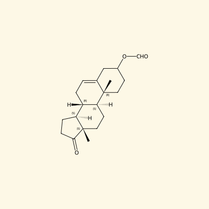 C[C@]12CCC(OC=O)CC1=CC[C@@H]1[C@@H]2CC[C@]2(C)C(=O)CC[C@@H]12